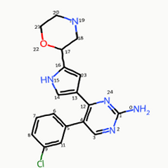 Nc1ncc(-c2cccc(Cl)c2)c(-c2c[nH]c(C3C[N]CCO3)c2)n1